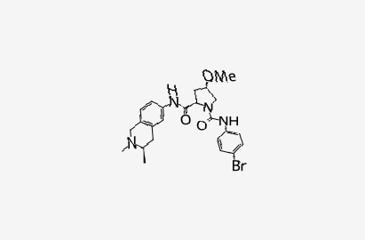 CO[C@@H]1C[C@H](C(=O)Nc2ccc3c(c2)C[C@@H](C)N(C)C3)N(C(=O)Nc2ccc(Br)cc2)C1